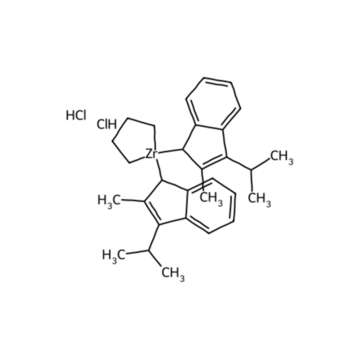 CC1=C(C(C)C)c2ccccc2[CH]1[Zr]1([CH]2C(C)=C(C(C)C)c3ccccc32)[CH2]CC[CH2]1.Cl.Cl